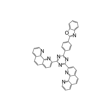 c1cnc2c(c1)ccc1ccc(-c3nc(-c4ccc(-c5nc6ccccc6o5)cc4)nc(-c4ccc5ccc6cccnc6c5n4)n3)nc12